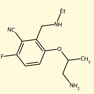 CCNCc1c(OC(C)CN)ccc(F)c1C#N